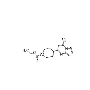 CCOC(=O)N1CCC(c2cc(Cl)n3nccc3n2)CC1